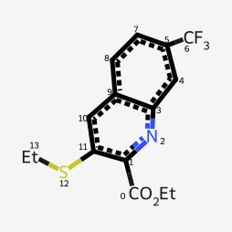 CCOC(=O)c1nc2cc(C(F)(F)F)ccc2cc1SCC